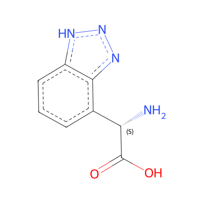 N[C@H](C(=O)O)c1cccc2[nH]nnc12